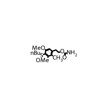 CCCCSc1c(OC)cc(CCOC(N)=O)c(C)c1OC